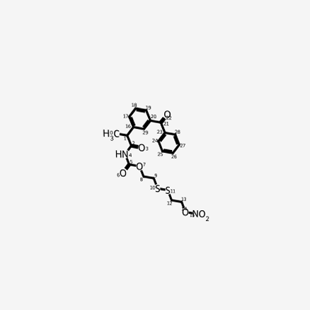 CC(C(=O)NC(=O)OCCSSCCO[N+](=O)[O-])c1cccc(C(=O)c2ccccc2)c1